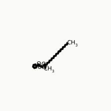 CCCCCCCCC=CCCCCCCCCCCCC(=O)N(C)CCOC(=O)c1ccccc1